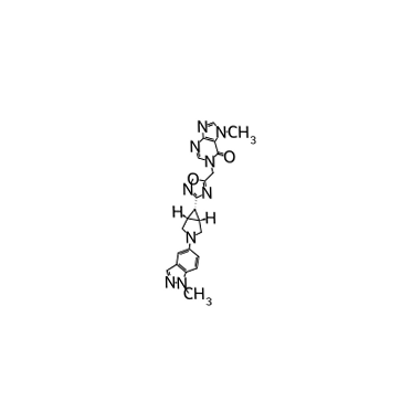 Cn1cnc2ncn(Cc3nc([C@@H]4[C@@H]5CN(c6ccc7c(cnn7C)c6)C[C@@H]54)no3)c(=O)c21